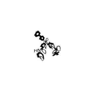 CC(C)(C)OC(=O)N1CC[C@H](n2c(=O)n(-c3ccc(-c4ccccc4)cc3)c3ccc(C(=O)NC4CCOCC4)nc32)C1